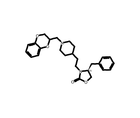 O=C1OC[C@H](Cc2ccccc2)N1CCC1CCN(CC2COc3ccccc3O2)CC1